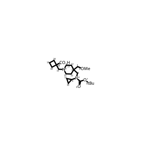 COCC1(CN(C(=O)OC(C)(C)C)C2CC2)CCN(CC2(C(=O)O)CCC2)CC1